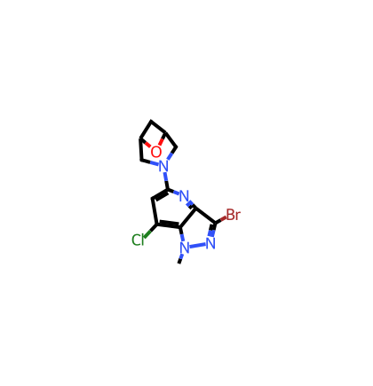 Cn1nc(Br)c2nc(N3CC4CC(C3)O4)cc(Cl)c21